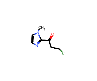 Cn1ccnc1C(=O)CCCl